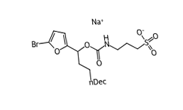 CCCCCCCCCCCCC(OC(=O)NCCCS(=O)(=O)[O-])c1ccc(Br)o1.[Na+]